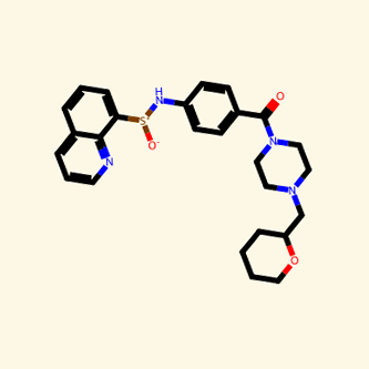 O=C(c1ccc(N[S+]([O-])c2cccc3cccnc23)cc1)N1CCN(CC2CCCCO2)CC1